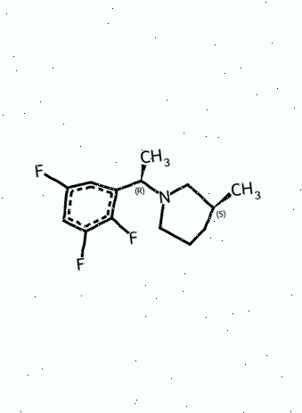 C[C@H]1CCCN([C@H](C)c2cc(F)cc(F)c2F)C1